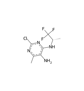 Cc1nc(Cl)nc(N[C@@H](C)C(F)(F)F)c1N